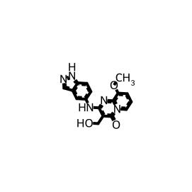 COc1cccn2c(=O)c(CO)c(Nc3ccc4[nH]ncc4c3)nc12